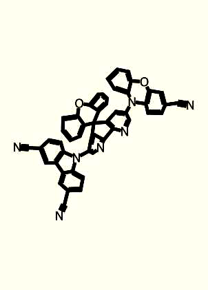 N#Cc1ccc2c(c1)Oc1ccccc1N2c1cnc2c(c1)C1(c3ccccc3Oc3ccccc31)c1cc(-n3c4ccc(C#N)cc4c4cc(C#N)ccc43)cnc1-2